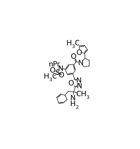 CCCN(c1cc(C(=O)N2CCCC2c2ccc(C)o2)cc(-c2nnc([C@](C)(N)CC3C=CC=CC3)o2)c1)S(C)(=O)=O